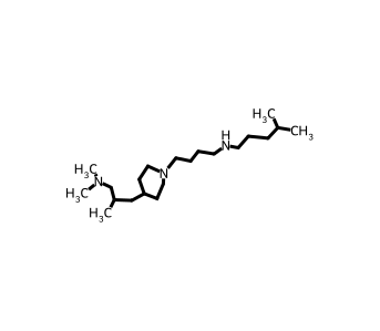 CC(C)CCCNCCCCN1CCC(CC(C)CN(C)C)CC1